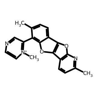 Cc1ccc2c(n1)oc1c3ccc(C)c(-c4cncc[n+]4C)c3oc21